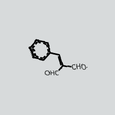 O=[C]C(C=O)=Cc1ccccc1